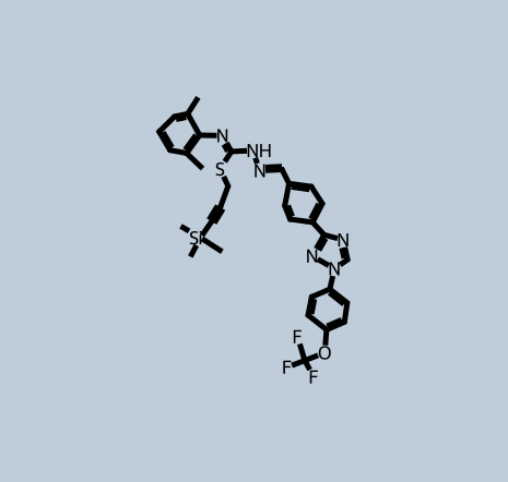 Cc1cccc(C)c1/N=C(/N/N=C/c1ccc(-c2ncn(-c3ccc(OC(F)(F)F)cc3)n2)cc1)SCC#C[Si](C)(C)C